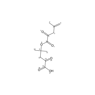 C=C(C)CC(=O)C(=O)OC(C)(C)CC(=O)C(=O)O